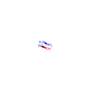 NN.[OH][Pt]